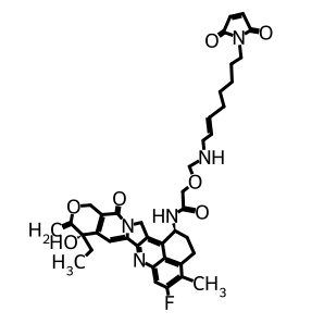 C=C1OCc2c(cc3n(c2=O)Cc2c-3nc3cc(F)c(C)c4c3c2[C@@H](NC(=O)COCNCC=CCCCCCN2C(=O)C=CC2=O)CC4)[C@@]1(O)CC